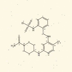 CCS(=O)(=O)Nc1ncccc1CNc1nc(NC2CCN(C(N)=O)CC2)ncc1C(F)(F)F